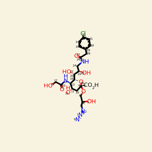 [N-]=[N+]=NCC(O)CO[C@]1(C(=O)O)C[C@H](O)[C@@H](NC(=O)CO)[C@H]([C@H](O)[C@H](O)CNC(=O)Cc2ccc(Cl)cc2)O1